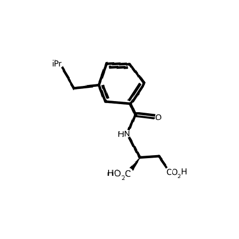 CC(C)Cc1cccc(C(=O)N[C@@H](CC(=O)O)C(=O)O)c1